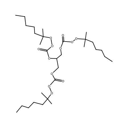 CCCCCC(C)(C)OOC(=O)OCC(COC(=O)OOC(C)(C)CCCCC)OC(=O)OOC(C)(C)CCCCC